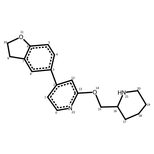 c1cc(-c2ccc3c(c2)CCO3)cc(OCC2CCCCN2)n1